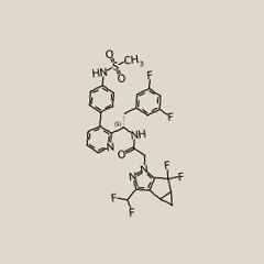 CS(=O)(=O)Nc1ccc(-c2cccnc2[C@H](Cc2cc(F)cc(F)c2)NC(=O)Cn2nc(C(F)F)c3c2C(F)(F)C2CC32)cc1